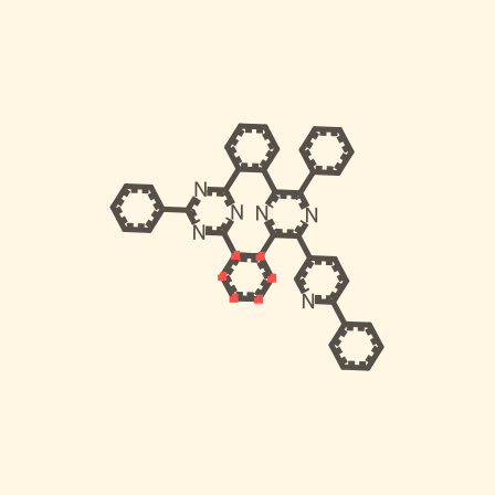 c1ccc(-c2ccc(-c3nc(-c4ccccc4)c(-c4ccccc4-c4nc(-c5ccccc5)nc(-c5ccccc5)n4)nc3-c3ccccc3)cn2)cc1